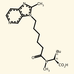 CC[C@H](C)[C@@H](C(=O)O)N(C)C(=O)CCCCCn1c(C)nc2ccncc21